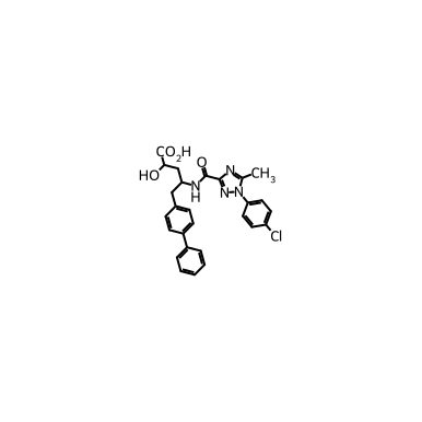 Cc1nc(C(=O)NC(Cc2ccc(-c3ccccc3)cc2)CC(O)C(=O)O)nn1-c1ccc(Cl)cc1